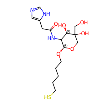 O=C(Cc1cnc[nH]1)NC1[C@H](OCCCCCS)OCC(O)(CO)[C@@H]1O